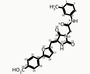 Cc1cccc(NC(=O)CN2C(=O)N/C(=C\c3ccc(-c4ccc(C(=O)O)cc4)o3)C2=O)c1